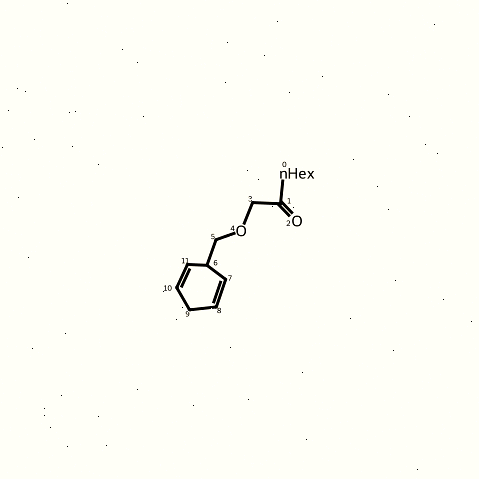 CCCCCCC(=O)COCC1C=CCC=C1